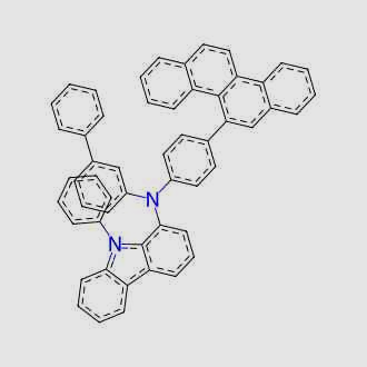 c1ccc(-c2cccc(N(c3ccc(-c4cc5ccccc5c5ccc6ccccc6c45)cc3)c3cccc4c5ccccc5n(-c5ccccc5)c34)c2)cc1